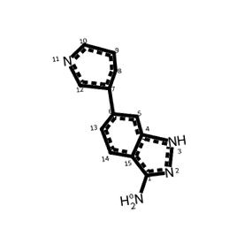 Nc1n[nH]c2cc(-c3cccnc3)ccc12